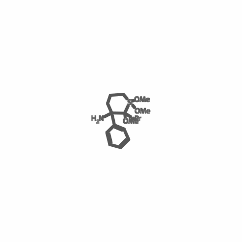 CCCC1(OC)C(N)(c2ccccc2)CCC[Si]1(OC)OC